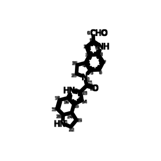 O=Cc1cc2c3c(ccc2[nH]1)N(C(=O)c1cc2c([nH]1)C=CC1NCCC21)CC3